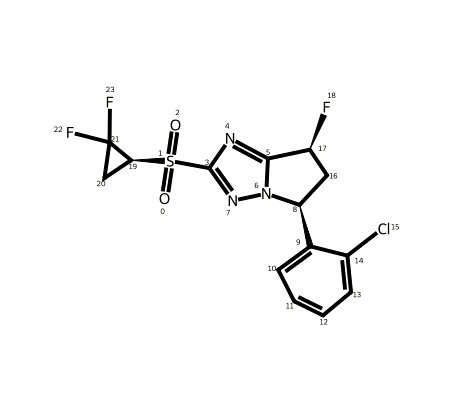 O=S(=O)(c1nc2n(n1)[C@H](c1ccccc1Cl)C[C@@H]2F)[C@H]1CC1(F)F